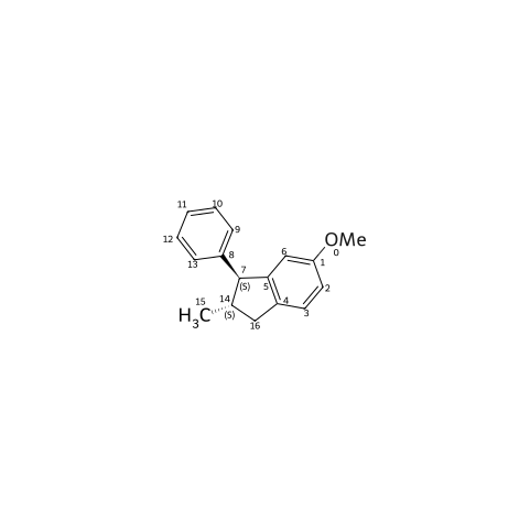 COc1ccc2c(c1)[C@H](c1ccccc1)[C@@H](C)C2